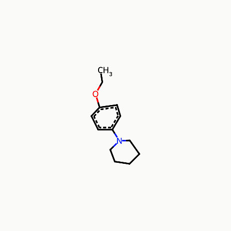 CCOc1ccc(N2CCCCC2)cc1